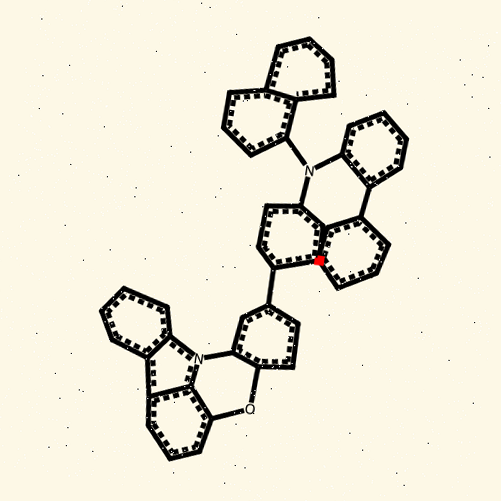 c1ccc(-c2ccccc2N(c2ccc(-c3ccc4c(c3)-n3c5ccccc5c5cccc(c53)O4)cc2)c2cccc3ccccc23)cc1